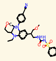 CCN(c1ccc(C(CNC(=O)NS(=O)(=O)c2ccccc2)COC)cc1Nc1ccc(C#N)cc1)C1CCOCC1